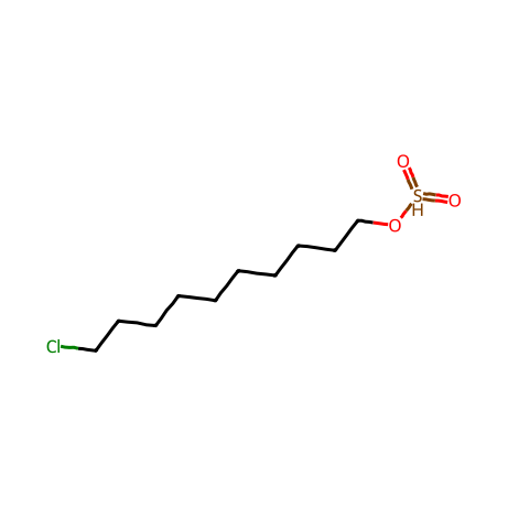 O=[SH](=O)OCCCCCCCCCCCl